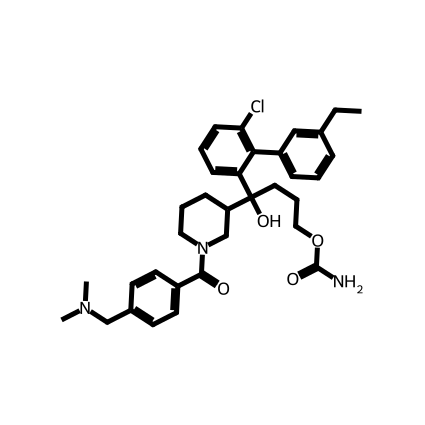 CCc1cccc(-c2c(Cl)cccc2C(O)(CCCOC(N)=O)C2CCCN(C(=O)c3ccc(CN(C)C)cc3)C2)c1